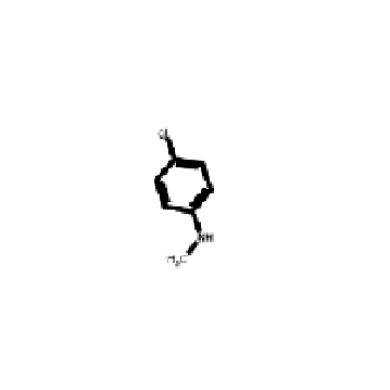 [CH2]Nc1ccc(Cl)cc1